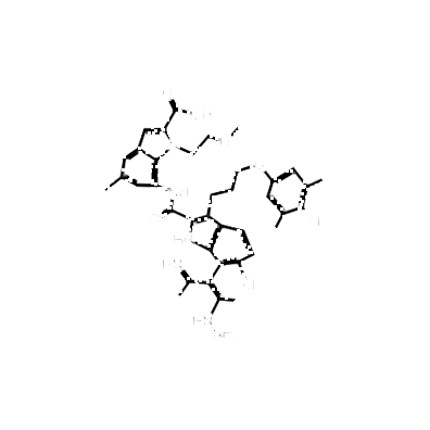 COCCn1c(C(=O)O)cc2cc(C)cc(NC(=O)c3[nH]c4c(/C(C(C)=N)=C(\C)NN)c(Cl)ccc4c3CCCOc3cc(C)c(Cl)c(C)c3)c21